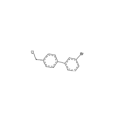 ClCc1ccc(-c2cccc(Br)c2)cc1